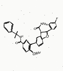 CNC(=O)C1c2cc(-c3cc(C(=O)NC(C)(C)c4ccccc4)ccc3OC)ccc2OC1c1ccc(F)cc1